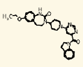 CCOc1ccc2c(c1)CCN(C1CCN(c3cc(C(=O)N4CCc5ccccc54)ncn3)CC1)C(=O)N2